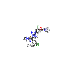 COC1C=C(c2nc(N3CCCC3)sc2-c2ccnc(Nc3ccc(OCCN4CCCC4)c(F)c3)n2)C=CC1Cl